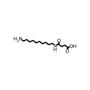 NCCCCCCCCCCNC(=O)CCC(=O)O